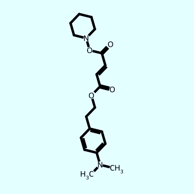 CN(C)c1ccc(CCOC(=O)/C=C/C(=O)ON2CCCCC2)cc1